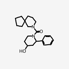 O=C(N1CCCC2(CCCC2)C1)N1CCC(O)CC1c1ccccc1